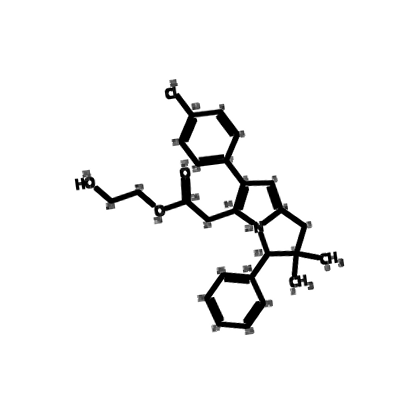 CC1(C)Cc2cc(-c3ccc(Cl)cc3)c(CC(=O)OCCO)n2C1c1ccccc1